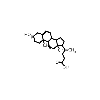 CC(CCC(=O)O)C1CCC2C3CC=C4C[C@@H](O)CCC4(C)C3CCC12C